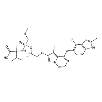 COCP(=O)(NC(C)(C(=O)O)C(C)C)O[C@@H](C)COc1cn2ncnc(Oc3ccc4[nH]c(C)cc4c3F)c2c1C